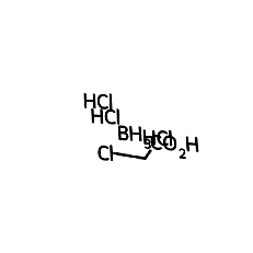 B.Cl.Cl.Cl.O=C(O)CCl